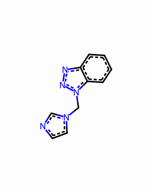 c1ccc2c(c1)nnn2Cn1ccnc1